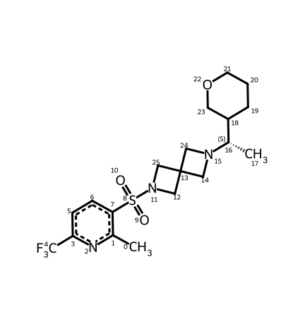 Cc1nc(C(F)(F)F)ccc1S(=O)(=O)N1CC2(CN([C@@H](C)C3CCCOC3)C2)C1